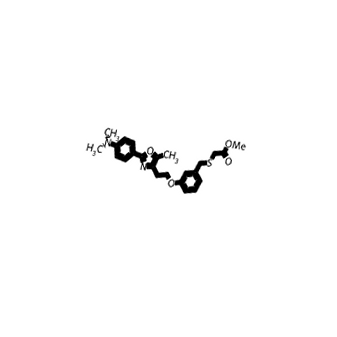 COC(=O)CSCc1cccc(OCCc2nc(-c3ccc(N(C)C)cc3)oc2C)c1